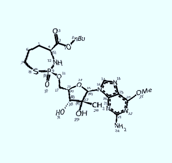 CCCCOC(=O)[C@@H]1CCCS[P@](=O)(OC[C@H]2O[C@@H](n3cnc4c(OC)nc(N)nc43)[C@](C)(O)[C@@H]2O)N1